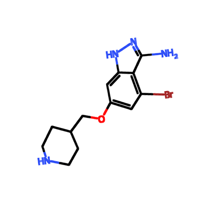 Nc1n[nH]c2cc(OCC3CCNCC3)cc(Br)c12